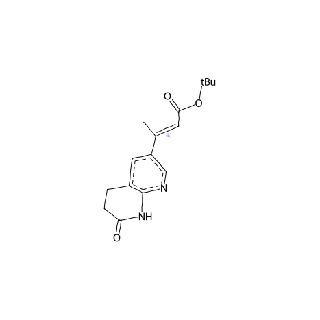 C/C(=C\C(=O)OC(C)(C)C)c1cnc2c(c1)CCC(=O)N2